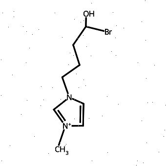 C[n+]1ccn(CCCC(O)Br)c1